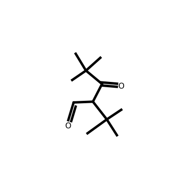 CC(C)(C)C(=O)C(C=O)C(C)(C)C